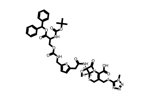 CO[C@@]1(NC(=O)Cc2ccc(CNC(=O)OCC(NC(=O)OC(C)(C)C)C(=O)OC(c3ccccc3)c3ccccc3)s2)C(=O)N2C(C(=O)O)=C(CSc3nnnn3C)CS[C@@H]21